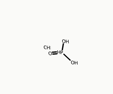 O=[PH](O)O.[CH]